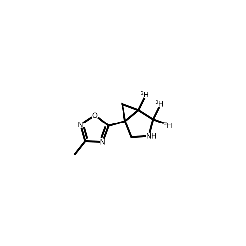 [2H]C1([2H])NCC2(c3nc(C)no3)CC12[2H]